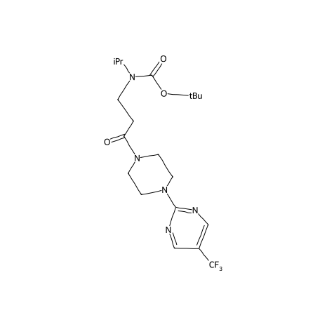 CC(C)N(CCC(=O)N1CCN(c2ncc(C(F)(F)F)cn2)CC1)C(=O)OC(C)(C)C